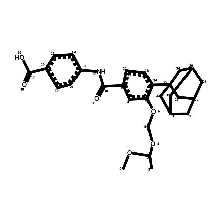 COC(C)OCOc1cc(C(=O)Nc2ccc(C(=O)O)cc2)ccc1C12CC3CC(CC(C3)C1)C2